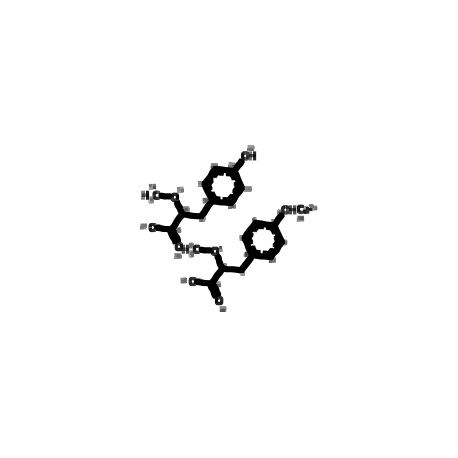 COC(Cc1ccc(O)cc1)C(=O)[O-].COC(Cc1ccc(O)cc1)C(=O)[O-].[Ca+2]